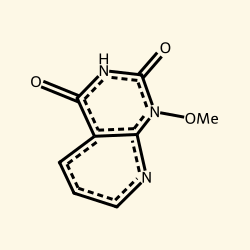 COn1c(=O)[nH]c(=O)c2cccnc21